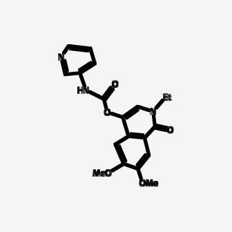 CCn1cc(OC(=O)Nc2cccnc2)c2cc(OC)c(OC)cc2c1=O